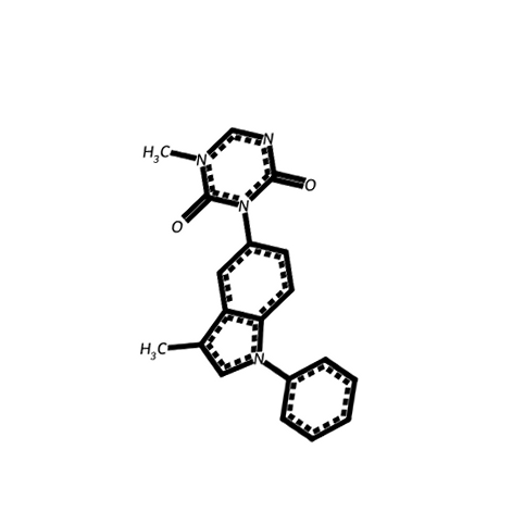 Cc1cn(-c2ccccc2)c2ccc(-n3c(=O)ncn(C)c3=O)cc12